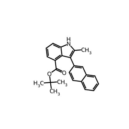 Cc1[nH]c2cccc(C(=O)OC(C)(C)C)c2c1-c1ccc2ccccc2c1